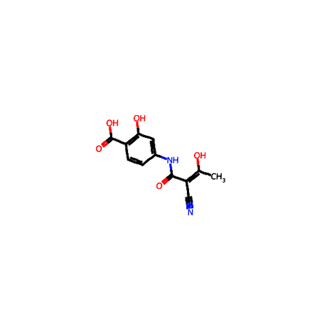 CC(O)=C(C#N)C(=O)Nc1ccc(C(=O)O)c(O)c1